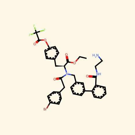 CCOC(=O)[C@H](Cc1ccc(OC(=O)C(F)(F)F)cc1)N(Cc1cccc(-c2ccccc2C(=O)NCCN)c1)C(=O)Cc1ccc(Br)cc1